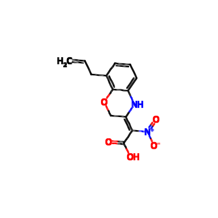 C=CCc1cccc2c1OCC(=C(C(=O)O)[N+](=O)[O-])N2